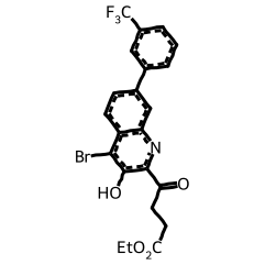 CCOC(=O)CCC(=O)c1nc2cc(-c3cccc(C(F)(F)F)c3)ccc2c(Br)c1O